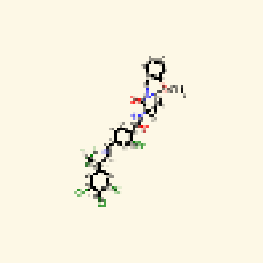 COc1ccccc1CN(C)C(=O)C1(NC(=O)c2ccc(/C=C/C(c3cc(Cl)c(Cl)c(Cl)c3)C(F)(F)F)cc2Br)CC1